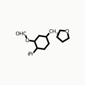 C1CCOC1.CC1CCC(C(C)C)C(OC=O)C1